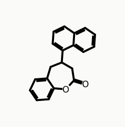 O=C1CC(c2cccc3ccccc23)Cc2ccccc2O1